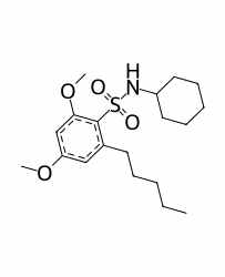 CCCCCc1cc(OC)cc(OC)c1S(=O)(=O)NC1CCCCC1